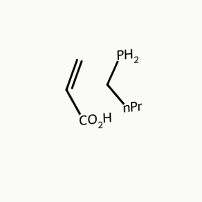 C=CC(=O)O.CCCCP